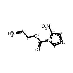 C=CCOC(=O)n1cncc1[N+](=O)[O-]